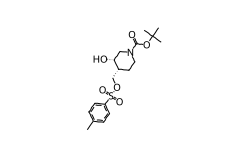 Cc1ccc(S(=O)(=O)OC[C@H]2CCN(C(=O)OC(C)(C)C)C[C@H]2O)cc1